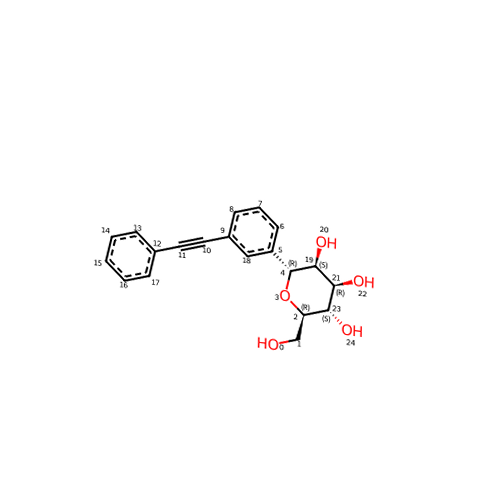 OC[C@H]1O[C@H](c2cccc(C#Cc3ccccc3)c2)[C@@H](O)[C@@H](O)[C@@H]1O